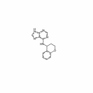 c1ccc2c(c1)OCCC2Nc1ncnc2[nH]cnc12